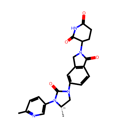 Cc1ccc(N2C(=O)N(c3ccc4c(c3)CN(C3CCC(=O)NC3=O)C4=O)C[C@@H]2C)cn1